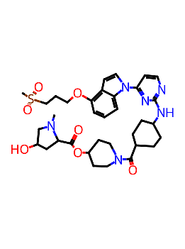 CN1CC(O)CC1C(=O)OC1CCN(C(=O)C2CCC(Nc3nccc(-n4ccc5c(OCCCS(C)(=O)=O)cccc54)n3)CC2)CC1